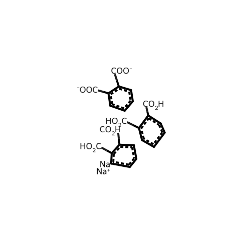 O=C(O)c1ccccc1C(=O)O.O=C(O)c1ccccc1C(=O)O.O=C([O-])c1ccccc1C(=O)[O-].[Na+].[Na+]